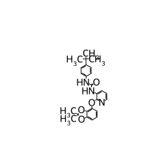 CC1(C)Oc2cccc(Oc3ncccc3NC(=O)Nc3ccc(C(C)(C)C)cc3)c2O1